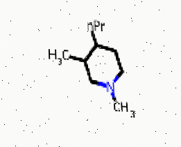 CCCC1CCN(C)CC1C